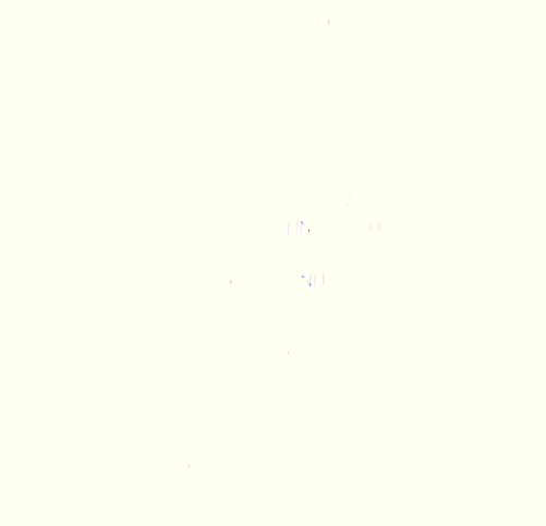 COc1cccc(S(=O)(=O)NNC(=O)c2ccc3oc4ccccc4c3c2)c1